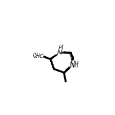 CC1CC(C=O)NCN1